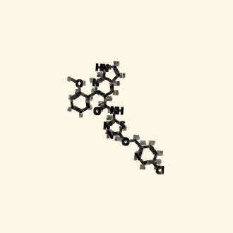 COc1ccccc1-c1nc2[nH]ccc2cc1C(=O)Nc1nnc(OCc2ccc(Cl)cn2)s1